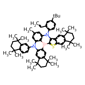 C=Cc1cc(C(C)(C)C)ccc1N1c2cc(C)cc3c2B(c2cc4c(cc2N3c2ccc3c(c2)C(C)(C)CCC3(C)C)C(C)(C)CCC4(C)C)c2sc3cc4c(cc3c21)C(C)(C)CCC4(C)C